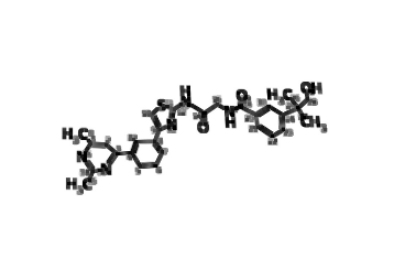 Cc1cc(-c2cccc(-c3csc(NC(=O)CNC(=O)c4cccc(C(C)(C)CO)c4)n3)c2)nc(C)n1